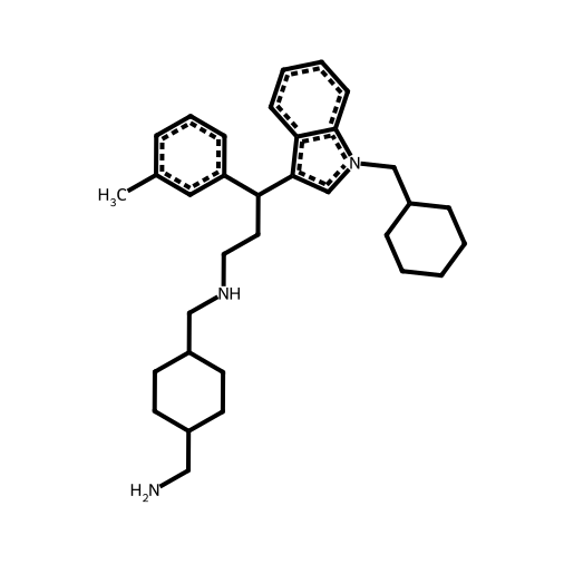 Cc1cccc(C(CCNCC2CCC(CN)CC2)c2cn(CC3CCCCC3)c3ccccc23)c1